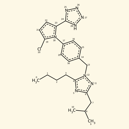 CCCCc1nc(CC(C)C)nn1Cc1ccc(-n2c(Cl)ccc2-c2nnn[nH]2)cc1